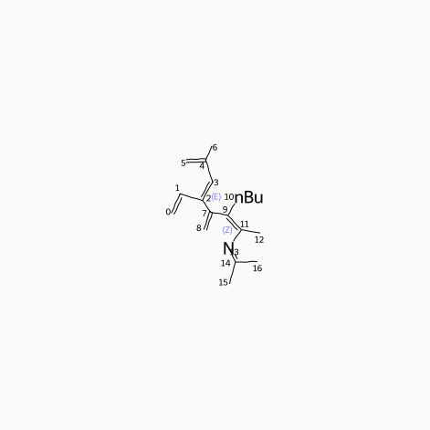 C=C/C(=C\C(=C)C)C(=C)/C(CCCC)=C(/C)N=C(C)C